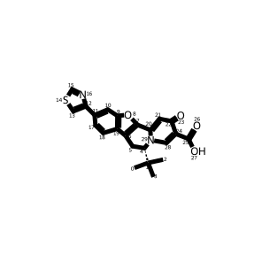 CC(C)(C)[C@@H]1Cc2c(oc3cc(-c4cscn4)ccc23)-c2cc(=O)c(C(=O)O)cn21